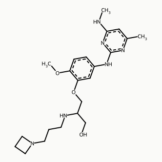 CNc1cc(C)nc(Nc2ccc(OC)c(OCC(CO)NCCCN3CCC3)c2)n1